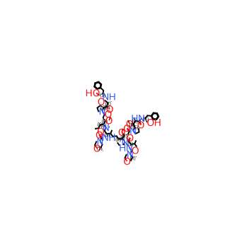 CC[C@H](CCC(C)[C@H](NC(=O)N1CCO[C@@H](C)C1)C(=O)N(C)[C@@H]([C@@H](C)CC)[C@@H](CC(=O)N1CCC[C@H]1[C@H](OC)[C@@H](C)C(=O)N[C@H](CO)Cc1ccccc1)OC)[C@@H]([C@@H](CC(=O)N1CCC[C@H]1[C@H](OC)[C@@H](C)C(=O)N[C@H](CO)Cc1ccccc1)OC)N(C)C(=O)[C@@H](NC(=O)N1CCOC[C@H]1C)C(C)C